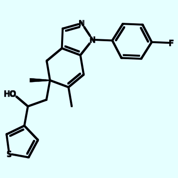 CC1=Cc2c(cnn2-c2ccc(F)cc2)C[C@@]1(C)CC(O)c1ccsc1